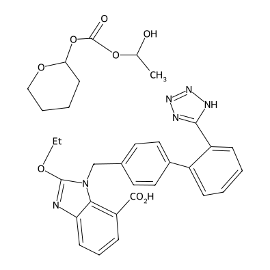 CC(O)OC(=O)OC1CCCCO1.CCOc1nc2cccc(C(=O)O)c2n1Cc1ccc(-c2ccccc2-c2nnn[nH]2)cc1